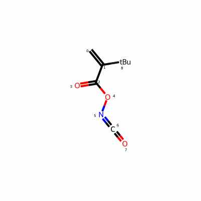 C=C(C(=O)ON=C=O)C(C)(C)C